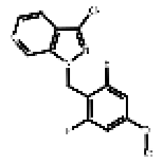 CCOc1cc(F)c(Cn2nc(C#N)c3ccncc32)c(F)c1